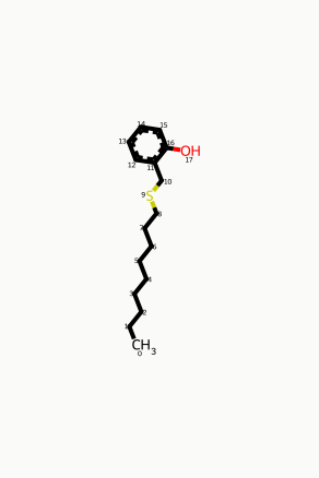 CCCCCCCCCSCc1ccccc1O